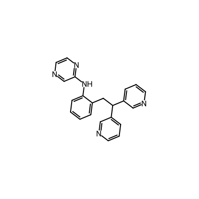 c1cncc(C(Cc2ccccc2Nc2cnccn2)c2cccnc2)c1